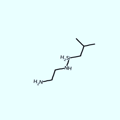 CC(C)C[SiH2]NCCN